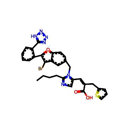 CCCCc1ncc(C=C(Cc2cccs2)C(=O)O)n1Cc1ccc2oc(-c3ccccc3-c3nnn[nH]3)c(Br)c2c1